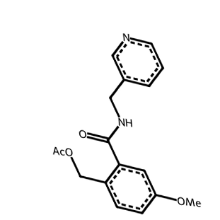 COc1ccc(COC(C)=O)c(C(=O)NCc2cccnc2)c1